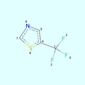 FC(F)(F)c1[c]ncs1